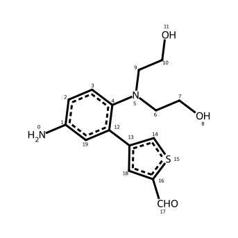 Nc1ccc(N(CCO)CCO)c(-c2csc(C=O)c2)c1